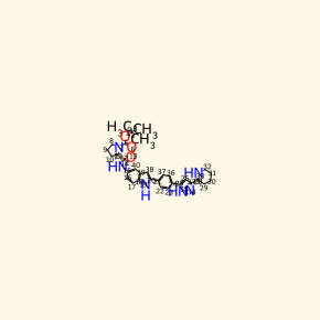 CC(C)(C)OC(=O)N1CCC[C@H]1C(=O)Nc1ccc2[nH]c(-c3ccc(-c4cc([C@@H]5CCCCN5)n[nH]4)cc3)cc2c1